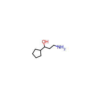 NCCC(O)C1CCCC1